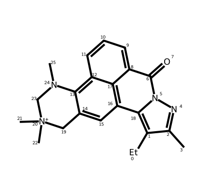 CCc1c(C)nn2c(=O)c3cccc4c5c(cc(c43)c12)C[N+](C)(C)CN5C